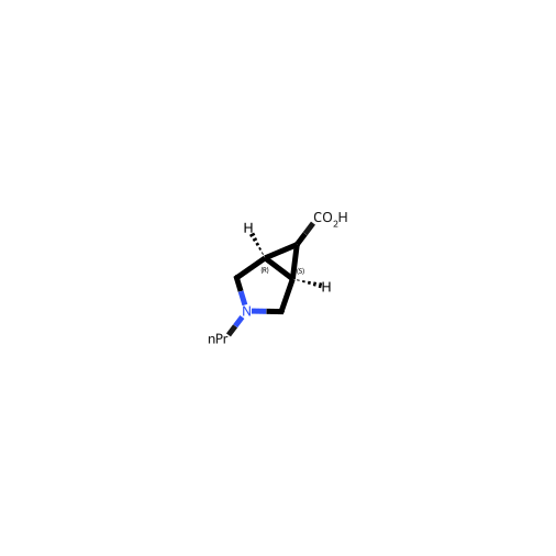 CCCN1C[C@@H]2C(C(=O)O)[C@@H]2C1